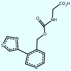 O=C(O)CNC(=O)OCc1ccncc1-c1cscn1